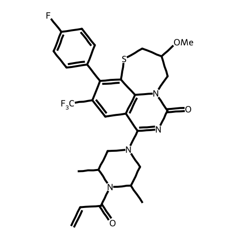 C=CC(=O)N1C(C)CN(c2nc(=O)n3c4c(c(-c5ccc(F)cc5)c(C(F)(F)F)cc24)SCC(OC)C3)CC1C